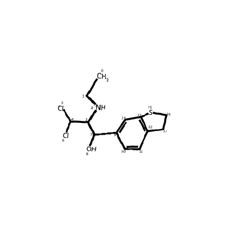 CCNC(C(Cl)Cl)C(O)c1ccc2c(c1)SCC2